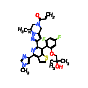 C=CC(=O)N1Cc2cc(-c3nc(-c4cn(C)cn4)c4ccsc4c3-c3c(F)cc(F)cc3OCC(C)(C)O)nn2[C@@H](C)C1